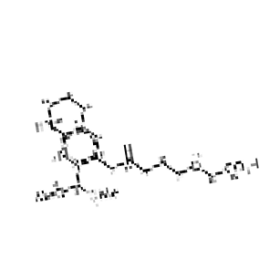 COC(OC)c1nc2c(cc1CNCCCOCC(=O)O)CCCN2